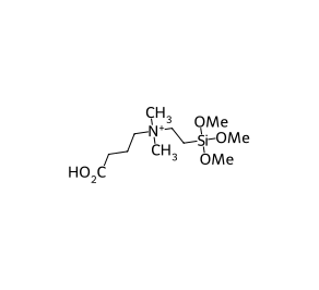 CO[Si](CC[N+](C)(C)CCCC(=O)O)(OC)OC